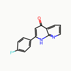 O=c1cc(-c2ccc(F)cc2)[nH]c2ncccc12